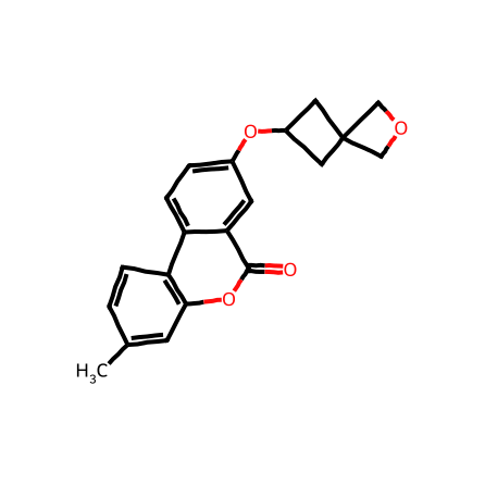 Cc1ccc2c(c1)oc(=O)c1cc(OC3CC4(COC4)C3)ccc12